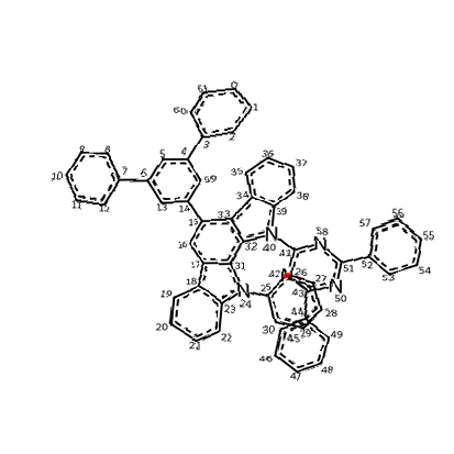 c1ccc(-c2cc(-c3ccccc3)cc(-c3cc4c5ccccc5n(-c5ccccc5)c4c4c3c3ccccc3n4-c3nc(-c4ccccc4)nc(-c4ccccc4)n3)c2)cc1